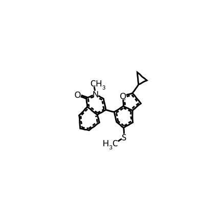 CSc1cc(-c2cn(C)c(=O)c3ccccc23)c2oc(C3CC3)cc2c1